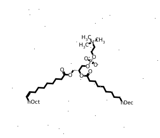 CCCCCCCC/C=C\CCCCCCCC(=O)OC[C@H](COP(=O)([O-])OCC[N+](C)(C)C)OC(=O)CCCCCCCCCCCCCCCCCC